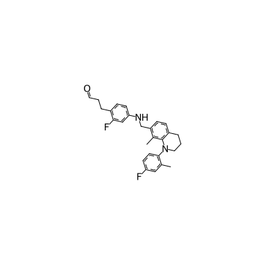 Cc1cc(F)ccc1N1CCCc2ccc(CNc3ccc(CCC=O)c(F)c3)c(C)c21